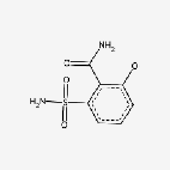 NC(=O)c1c([O])cccc1S(N)(=O)=O